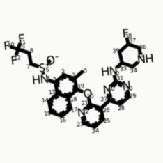 Cc1cc(N[S+]([O-])CCC(F)(F)F)c2ccccc2c1Oc1ncccc1-c1ccnc(NC2CNCC(F)C2)n1